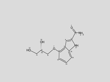 NC(=O)c1cc2c(OC[C@@H](O)CO)cccc2[nH]1